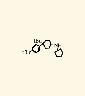 CC(C)(C)c1ccc([C@]2(C(C)(C)C)CC[C@@H](NC3CCCCC3)CC2)cc1